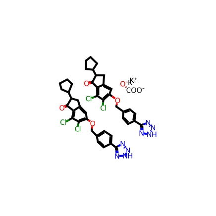 O=C([O-])[O-].O=C1c2c(cc(OCc3ccc(-c4nn[nH]n4)cc3)c(Cl)c2Cl)CC1C1CCCC1.O=C1c2c(cc(OCc3ccc(-c4nn[nH]n4)cc3)c(Cl)c2Cl)CC1C1CCCC1.[K+].[K+]